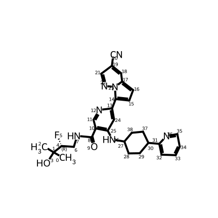 CC(C)(O)[C@H](F)CNC(=O)c1cnc(-c2ccc3cc(C#N)cnn23)cc1NC1CCC(c2ccccn2)CC1